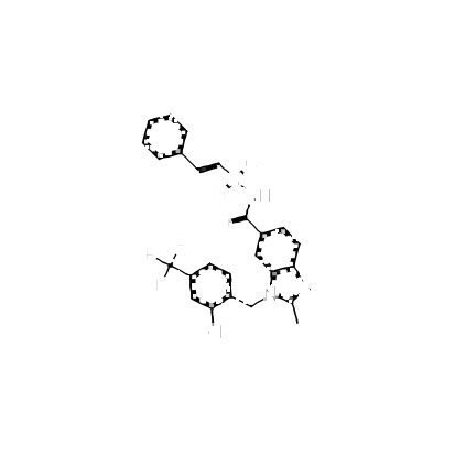 Cc1nc2ccc(C(=O)NS(=O)(=O)C=Cc3ccccc3)cc2n1Cc1ccc(C(F)(F)F)cc1Cl